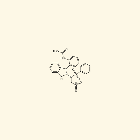 CC(=O)Nc1ccccc1C1c2ccccc2NN1N(C[SH](=O)=O)S(=O)(=O)c1ccccc1